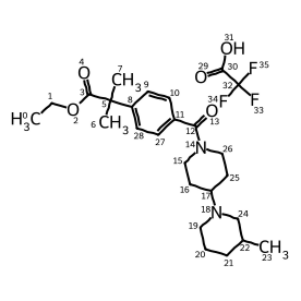 CCOC(=O)C(C)(C)c1ccc(C(=O)N2CCC(N3CCCC(C)C3)CC2)cc1.O=C(O)C(F)(F)F